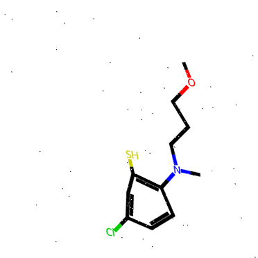 COCCCN(C)c1ccc(Cl)cc1S